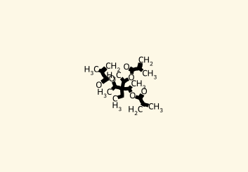 C=C(C)C(=O)OC(C)C(CC)(C(C)OC(=O)C(=C)C)C(C)OC(=O)C(=C)C